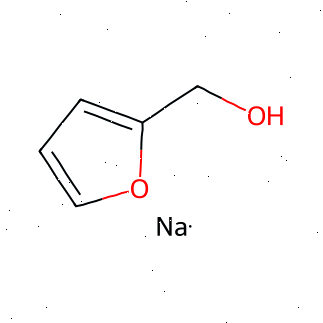 OCc1ccco1.[Na]